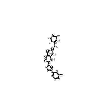 Cc1cccc(C2=CCC(C(=O)NC(COCc3ccccc3)C(=O)O)O2)c1